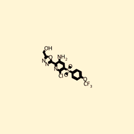 Nc1cc(S(=O)(=O)c2ccc(OC(F)(F)F)cc2)c(Cl)nc1-c1nnc(CO)o1